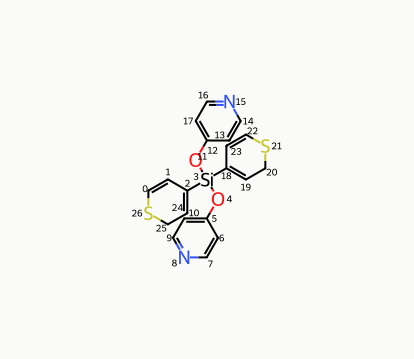 C1=CC([Si](Oc2ccncc2)(Oc2ccncc2)C2=CCSC=C2)=CCS1